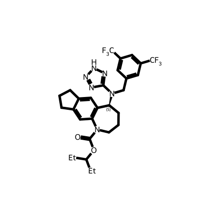 CCC(CC)OC(=O)N1CCC[C@H](N(Cc2cc(C(F)(F)F)cc(C(F)(F)F)c2)c2nn[nH]n2)c2cc3c(cc21)CCC3